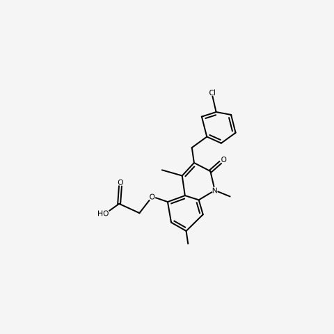 Cc1cc(OCC(=O)O)c2c(C)c(Cc3cccc(Cl)c3)c(=O)n(C)c2c1